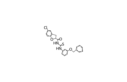 O=C(NC(=S)Nc1cccc(OCc2ccccc2)c1)C1Cc2cc(Cl)ccc2O1